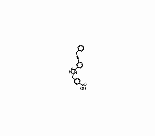 O=C(O)c1ccc(Cn2nnc(-c3cccc(C#CCc4ccccc4)c3)n2)cc1